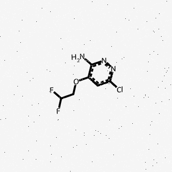 Nc1nnc(Cl)cc1OCC(F)F